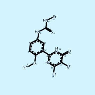 CCCOc1ccc(NC(=S)NCC)cc1-c1nc(CC)c(CC)c(=O)[nH]1